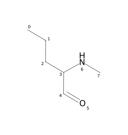 CCCC(C=O)NC